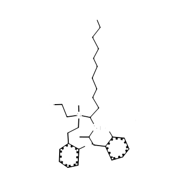 CCCCCCCCCCC(NC(C)Cc1ccccc1O)[N+](C)(CCO)CCc1ccccc1O.[Cl-]